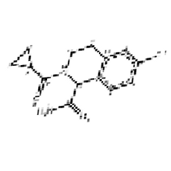 NC(=O)C1c2ccc(F)cc2CCN1C(=O)C1CC1